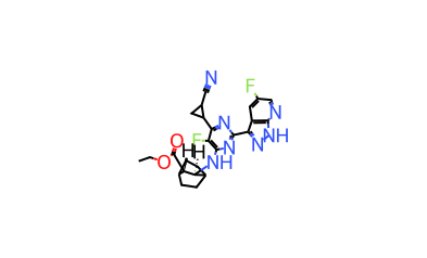 CCOC(=O)[C@H]1C2CCC(CC2)[C@@H]1Nc1nc(-c2n[nH]c3ncc(F)cc23)nc(C2CC2C#N)c1F